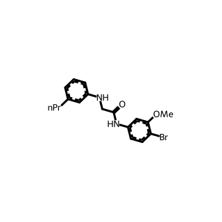 CCCc1cccc(NCC(=O)Nc2ccc(Br)c(OC)c2)c1